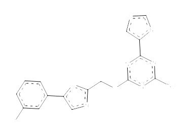 Nc1nc(SCc2ncc(-c3cccc(Cl)c3)o2)nc(-c2cscn2)n1